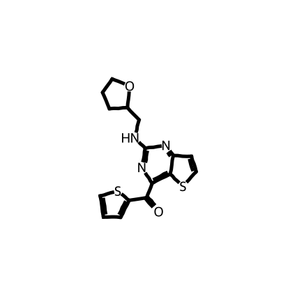 O=C(c1cccs1)c1nc(NCC2CCCO2)nc2ccsc12